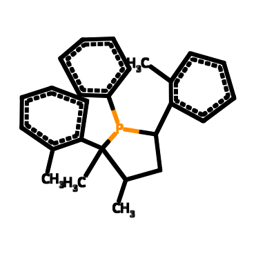 Cc1ccccc1C1CC(C)C(C)(c2ccccc2C)P1c1ccccc1